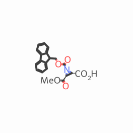 COC(=O)[C@@H]1[C@@H](C(=O)O)N1C(=O)OCC1c2ccccc2-c2ccccc21